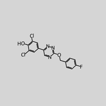 Oc1c(Cl)cc(-c2cnc(OCc3ccc(F)cc3)nn2)cc1Cl